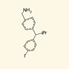 CC(C)C(c1ccc(I)cc1)c1ccc(CN)cc1